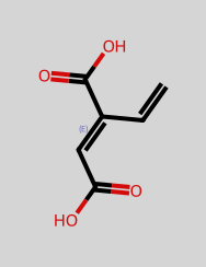 C=C/C(=C\C(=O)O)C(=O)O